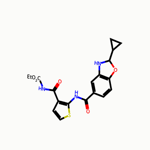 CCOC(=O)NC(=O)c1ccsc1NC(=O)c1ccc2c(c1)NC(C1CC1)O2